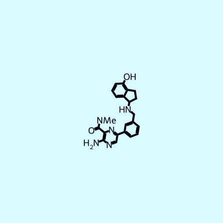 CNC(=O)c1nc(-c2cccc(CNC3CCc4c(O)cccc43)c2)cnc1N